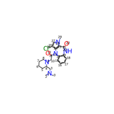 CN(C)CC1CCCCN1CC(=O)N1c2ccccc2NC(=O)c2c1c(Cl)cn2C